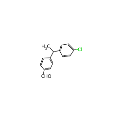 CC(c1ccc(Cl)cc1)c1ccc(C=O)cc1